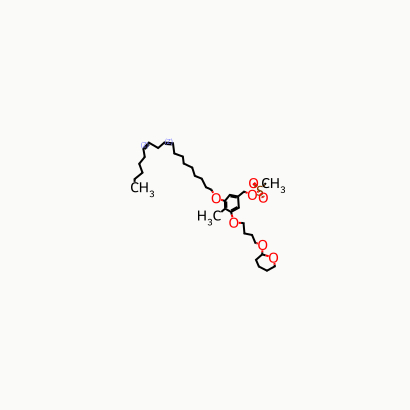 CCCCC/C=C\C/C=C\CCCCCCCCOc1cc(COS(C)(=O)=O)cc(OCCCCOC2CCCCO2)c1C